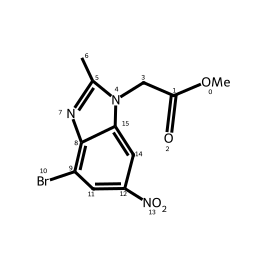 COC(=O)Cn1c(C)nc2c(Br)cc([N+](=O)[O-])cc21